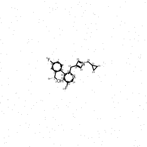 C[C@@H](O)c1cc(F)ccc1-c1cc(F)cnc1CC1=C[N+](CC2CC2)=C1